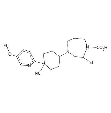 CCOc1ccc(C2(C#N)CCC(N3CCCN(C(=O)O)C(CC)C3)CC2)nc1